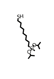 CC(C)O[Si](C)(CCCCCCCCCS)OC(C)C